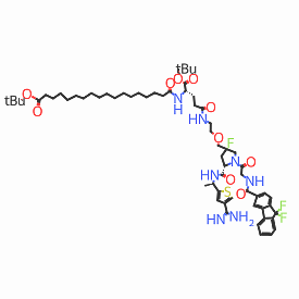 C[C@@H](NC(=O)[C@@H]1C[C@](F)(COCCNC(=O)CC[C@H](NC(=O)CCCCCCCCCCCCCCCCC(=O)OC(C)(C)C)C(=O)OC(C)(C)C)CN1C(=O)CNC(=O)c1ccc2c(c1)-c1ccccc1C2(F)F)c1cc(C(=N)N)cs1